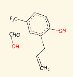 C=CCc1cc(C(F)(F)F)ccc1O.O=CO